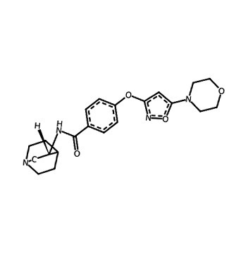 O=C(N[C@H]1CN2CCC1CC2)c1ccc(Oc2cc(N3CCOCC3)on2)cc1